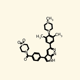 Cc1cc(-c2cc3c(-c4ccc(C(=O)N5CCS(=O)(=O)CC5)cc4)c[nH]c3nn2)cc(C)c1N1CCN(C)CC1